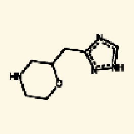 c1nc(CC2CNCCO2)n[nH]1